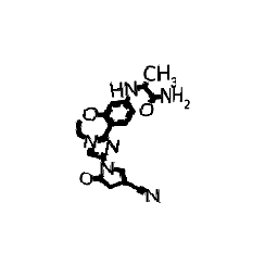 CC(Nc1ccc2c(c1)OCCn1cc(N3CC(C#N)CC3=O)nc1-2)C(N)=O